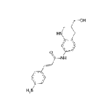 Bc1ccc(/C=C/C(=O)Nc2ccc3c(c2)NCC(CO)C3)cc1